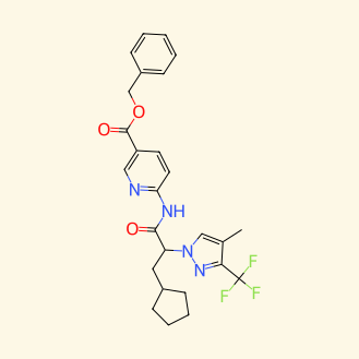 Cc1cn(C(CC2CCCC2)C(=O)Nc2ccc(C(=O)OCc3ccccc3)cn2)nc1C(F)(F)F